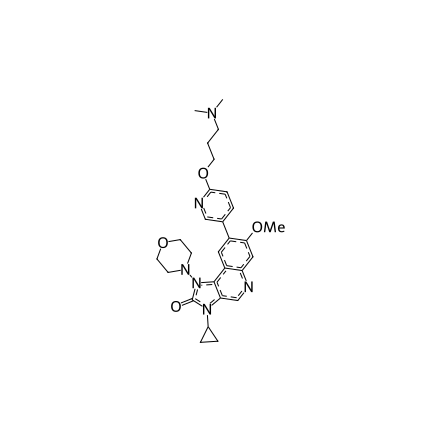 COc1cc2ncc3c(c2cc1-c1ccc(OCCCN(C)C)nc1)n(N1CCOCC1)c(=O)n3C1CC1